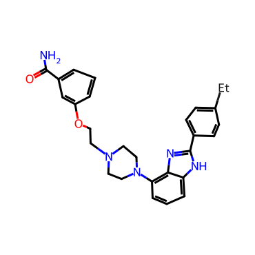 CCc1ccc(-c2nc3c(N4CCN(CCOc5cccc(C(N)=O)c5)CC4)cccc3[nH]2)cc1